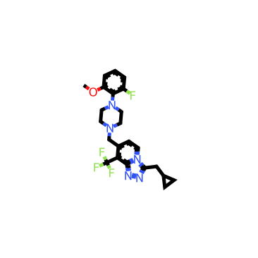 COc1cccc(F)c1N1CCN(Cc2ccn3c(CC4CC4)nnc3c2C(F)(F)F)CC1